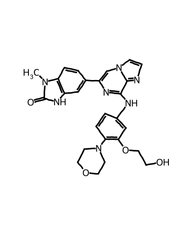 Cn1c(=O)[nH]c2cc(-c3cn4ccnc4c(Nc4ccc(N5CCOCC5)c(OCCO)c4)n3)ccc21